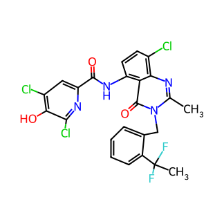 Cc1nc2c(Cl)ccc(NC(=O)c3cc(Cl)c(O)c(Cl)n3)c2c(=O)n1Cc1ccccc1C(C)(F)F